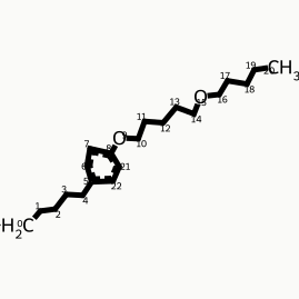 [CH2]CCCCc1ccc(OCCCCCOCCCCC)cc1